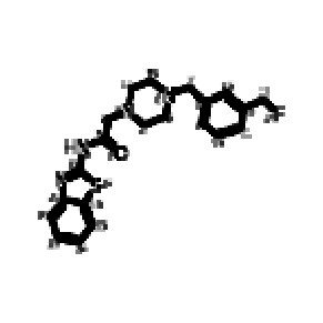 O=C(CN1CCN(Cc2cccc(CF)c2)CC1)Nc1nc2ccccc2s1